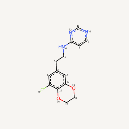 Fc1cc(CCNc2ccncn2)cc2c1OCCO2